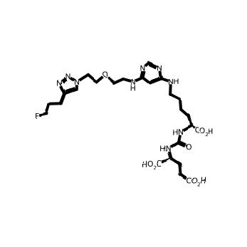 O=C(O)CC[C@H](NC(=O)N[C@@H](CCCCNc1cc(NCCOCCn2cc(CCCF)nn2)ncn1)C(=O)O)C(=O)O